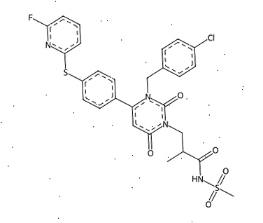 CC(Cn1c(=O)cc(-c2ccc(Sc3cccc(F)n3)cc2)n(Cc2ccc(Cl)cc2)c1=O)C(=O)NS(C)(=O)=O